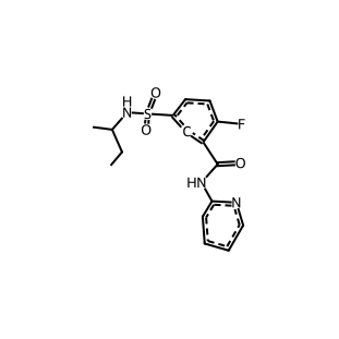 CCC(C)NS(=O)(=O)c1ccc(F)c(C(=O)Nc2ccccn2)c1